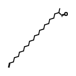 C=CCCCCCCCCCCCCCCCCCCC(C)[C]=O